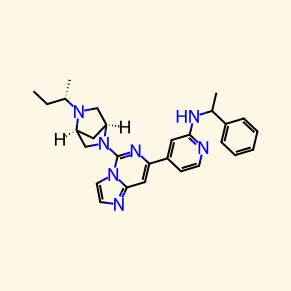 CC[C@H](C)N1C[C@@H]2C[C@H]1CN2c1nc(-c2ccnc(NC(C)c3ccccc3)c2)cc2nccn12